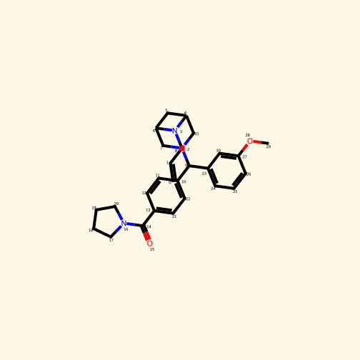 C=CCN1C2CC1CN(C(c1ccc(C(=O)N3CCCC3)cc1)c1cccc(OC)c1)C2